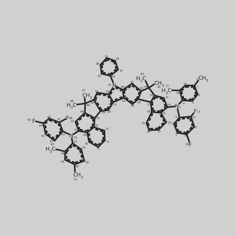 Cc1ccc(N(c2ccc(F)cc2F)c2cc3c(c4ccccc24)-c2cc4c5cc6c(cc5n(-c5ccccc5)c4cc2C3(C)C)C(C)(C)c2cc(N(c3ccc(C)cc3C)c3ccc(F)cc3F)c3ccccc3c2-6)c(C)c1